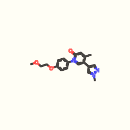 COCCOc1ccc(-n2cc(-c3cnn(C)c3)c(C)cc2=O)cc1